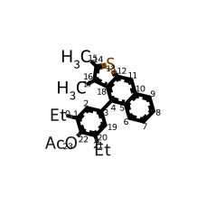 CCc1cc(-c2c3ccccc3cc3sc(C)c(C)c23)cc(CC)c1OC(C)=O